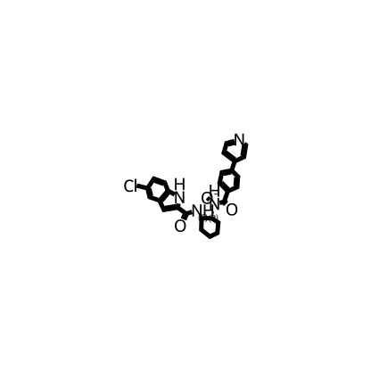 O=C(N[C@H]1CCCC[C@H]1[NH+]([O-])C(=O)c1ccc(-c2ccncc2)cc1)c1cc2cc(Cl)ccc2[nH]1